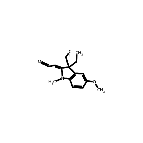 CCC1(CC)C(=CC=O)N(C)c2ccc(OC)cc21